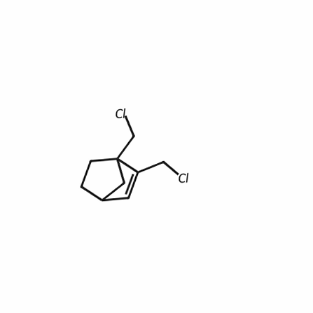 ClCC1=CC2CCC1(CCl)C2